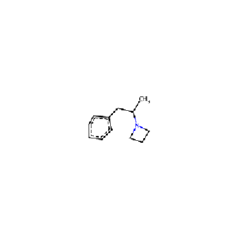 CC(Cc1ccccc1)N1CCC1